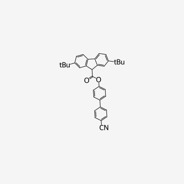 CC(C)(C)c1ccc2c(c1)C(C(=O)Oc1ccc(-c3ccc(C#N)cc3)cc1)c1cc(C(C)(C)C)ccc1-2